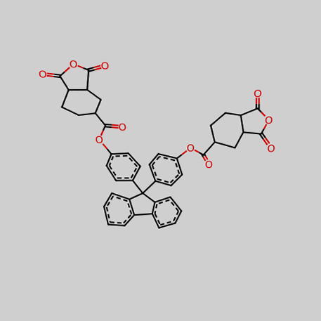 O=C(Oc1ccc(C2(c3ccc(OC(=O)C4CCC5C(=O)OC(=O)C5C4)cc3)c3ccccc3-c3ccccc32)cc1)C1CCC2C(=O)OC(=O)C2C1